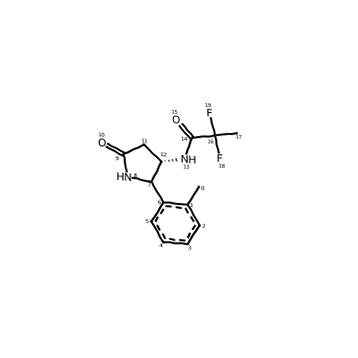 Cc1ccccc1C1NC(=O)C[C@@H]1NC(=O)C(C)(F)F